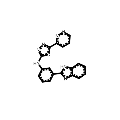 c1cc(Nc2nnc(-c3cccnn3)o2)cc(-c2nc3ccccc3[nH]2)c1